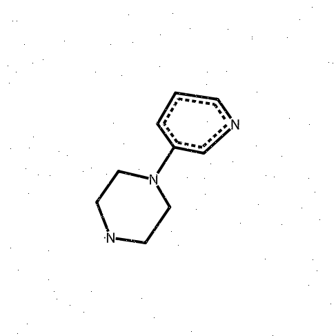 c1cncc(N2CC[N]CC2)c1